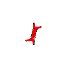 CCCCCCc1ccc2c(c1)c1cc(CCCCCC)ccc1n2CCN1C(=O)c2ccc3c4ccc5c6c(ccc(c7ccc(c2c37)C1=O)c64)C(=O)N(CCn1c2ccc(CCCCCC)cc2c2cc(CCCCCC)ccc21)C5=O